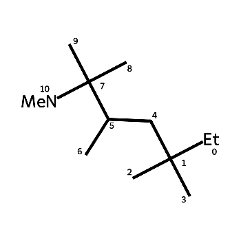 CCC(C)(C)CC(C)C(C)(C)NC